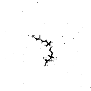 CCC(=O)NC(C)(CC)CCOC(C)(C)CCNCO